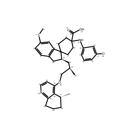 CSc1ccc2c(c1)C1(CCC(Nc3cccc(Cl)c3)(C(=O)O)CC1)[C@@H](C[C@@H](C)COc1ccnc3c1[C@H](C)CCC3)C2